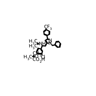 C=C(C)NC(Cc1cc(-c2ccc(C(F)(F)F)cc2)nn1Cc1ccccc1)c1ccc(OC(C)(C)C(=O)O)c(Cl)c1